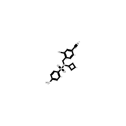 Cc1ccc(S(=O)(=O)N(Cc2ccc(C#N)cc2F)C2CCC2)cc1